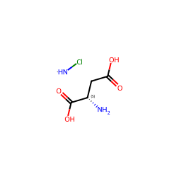 N[C@@H](CC(=O)O)C(=O)O.[NH]Cl